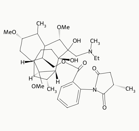 CCN(C)CC(O)([C@@H](OC)C1C(C)[C@@H](OC)CC[C@@H]1COC(=O)c1ccccc1N1C(=O)C[C@H](C)C1=O)[C@@]1(O)CC[C@H]2C[C@@H](C)[C@@H]1[C@H]2OC